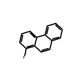 Fc1cccc2c1ccc1ccccc12